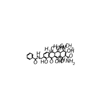 C[C@H]1c2ccc(CNC(=O)c3ccccc3)c(O)c2C(=O)C2=C(O)[C@]3(O)C(=O)C(C(N)=O)=C(O)[C@@H](N(C)C)C3[C@@H](O)C21